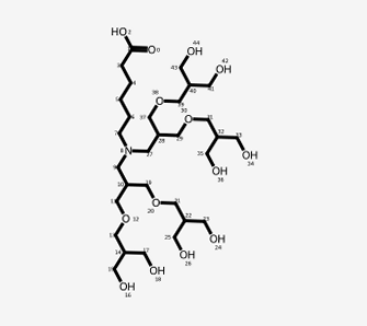 O=C(O)CCCCCN(CC(COCC(CO)CO)COCC(CO)CO)CC(COCC(CO)CO)COCC(CO)CO